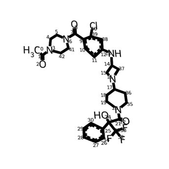 CC(=O)N1CCN(C(=O)c2ccc(NC3CN(C4CCN(C(=O)C(O)(c5ccccc5)C(F)(F)F)CC4)C3)cc2Cl)CC1